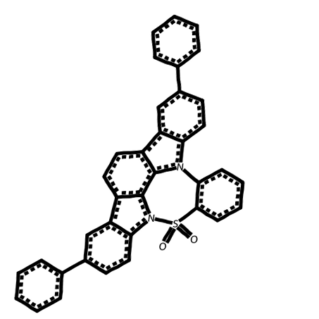 O=S1(=O)c2ccccc2-n2c3ccc(-c4ccccc4)cc3c3ccc4c5cc(-c6ccccc6)ccc5n1c4c32